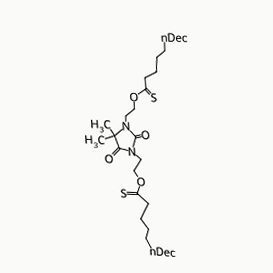 CCCCCCCCCCCCCCC(=S)OCCN1C(=O)N(CCOC(=S)CCCCCCCCCCCCCC)C(C)(C)C1=O